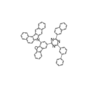 c1ccc(-c2cccc(-c3nc(-c4ccc5ccccc5c4)nc(-c4cc(-n5c6cc7ccccc7cc6c6c7ccccc7ccc65)c5oc6ccccc6c5c4)n3)c2)cc1